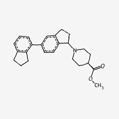 COC(=O)C1CCN(C2CCc3cc(-c4cccc5c4CCC5)ccc32)CC1